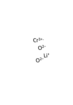 [Cr+3].[Li+].[O-2].[O-2]